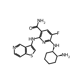 NC(=O)c1cc(F)c(N[C@@H]2CCCC[C@@H]2N)nc1Nc1csc2ccncc12